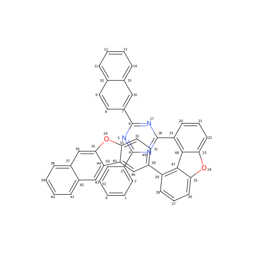 c1ccc(-c2nc(-c3ccc4ccccc4c3)nc(-c3cccc4oc5cccc(-c6ccc7oc8cc9ccccc9cc8c7c6)c5c34)n2)cc1